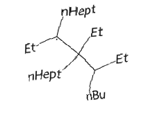 CCCCCCC[C](CC)C(CC)(CCCCCCC)C(CC)CCCC